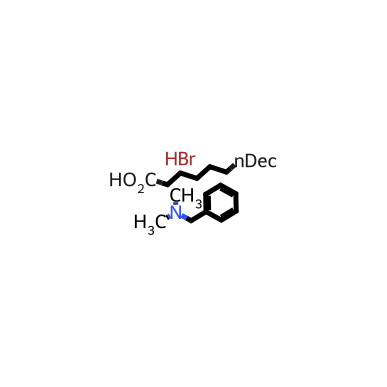 Br.CCCCCCCCCCCCCCCC(=O)O.CN(C)Cc1ccccc1